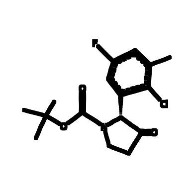 Cc1cc(F)cc([C@@H]2C(=O)CCN2C(=O)OC(C)(C)C)c1Cl